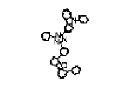 c1ccc(-c2nc(-c3cccc(-c4cccc5c4oc4c(-c6ccccc6)cccc45)c3)nc(-c3ccc4c(c3)c3ccccc3n4-c3ccccc3)n2)cc1